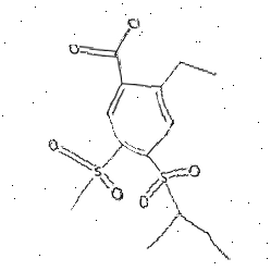 CCc1cc(S(=O)(=O)C(C)CC)c(S(C)(=O)=O)cc1C(=O)Cl